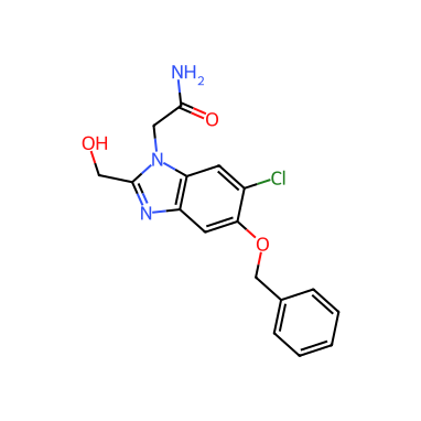 NC(=O)Cn1c(CO)nc2cc(OCc3ccccc3)c(Cl)cc21